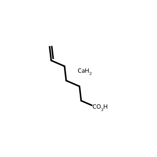 C=CCCCCC(=O)O.[CaH2]